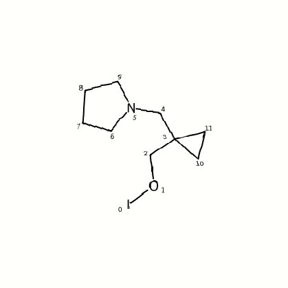 IOCC1(CN2CCCC2)CC1